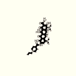 CCCN1CCC(C(=O)Nc2cc(N(C)C)c3c(c2O)C(=O)C2=C(O)[C@]4(O)C(=O)C(C(N)=O)=C(O)[C@@H](N(C)C)[C@@H]4C[C@@H]2C3)CC1